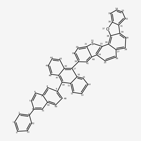 c1ccc(-c2ccc3cc(-c4c5ccccc5c(-c5ccc6sc7c(ccc8ccc9c%10ccccc%10oc9c87)c6c5)c5ccccc45)ccc3c2)cc1